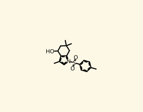 Cc1ccc(S(=O)(=O)n2cc(C)c3c2CC(C)(C)CC3O)cc1